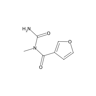 CN(C(N)=O)C(=O)c1ccoc1